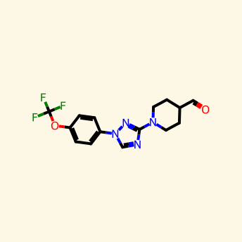 O=CC1CCN(c2ncn(-c3ccc(OC(F)(F)F)cc3)n2)CC1